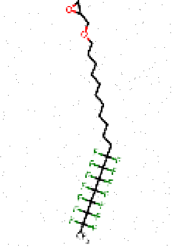 FC(F)(F)C(F)(F)C(F)(F)C(F)(F)C(F)(F)C(F)(F)C(F)(F)C(F)(F)CCCCCCCCCCCOCC1CO1